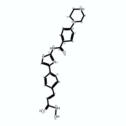 C=C(/C=C/c1ccc(-c2csc(NC(=O)c3ccc(N4CCNCC4)cc3)n2)cc1)NO